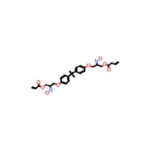 C=CCC(=O)OCC(COc1ccc(C(C)(C)c2ccc(OCC(COC(=O)C=C)N=O)cc2)cc1)N=O